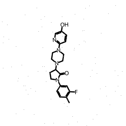 Cc1ccc(N2CCC(N3CCN(c4ccc(O)cn4)CC3)C2=O)cc1F